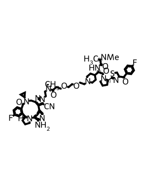 CN[C@H](C)C(=O)N[C@@H](C(=O)N1CCC[C@@H]1C1=NC(C(=O)c2ccc(F)cc2)CS1)C1CCN(CCOCCOCCC(=O)N(C)CCn2nc3c(c2C#N)-c2cnc(N)c(c2)N2CCC[C@@H]2c2cc(F)ccc2C(=O)N(C2CC2)C3)CC1